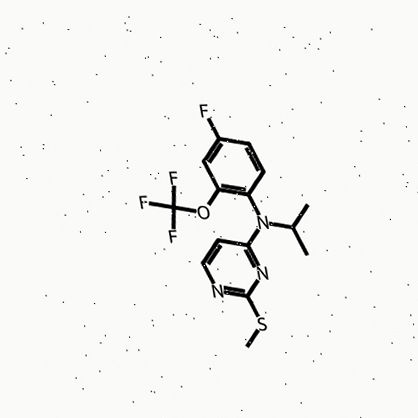 CSc1nccc(N(c2ccc(F)cc2OC(F)(F)F)C(C)C)n1